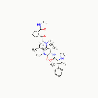 CNC(=O)[C@@H]1CCCC1C(=O)CN(C)C[C@H](C(C)C)N(C)C(=O)[C@@H](NC(=O)[C@@H](NC)C(C)(C)c1ccccc1)C(C)(C)C